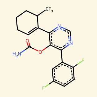 NC(=O)Oc1c(C2=CCCCC2C(F)(F)F)ncnc1-c1cc(F)ccc1F